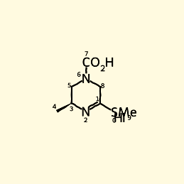 CSC1=N[C@@H](C)CN(C(=O)O)C1.I